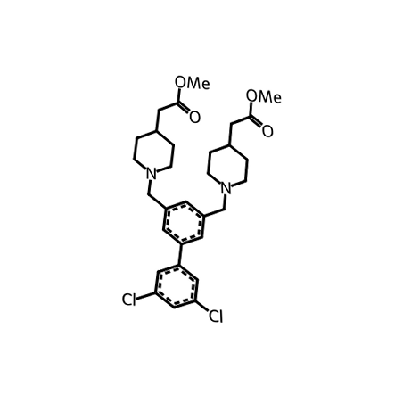 COC(=O)CC1CCN(Cc2cc(CN3CCC(CC(=O)OC)CC3)cc(-c3cc(Cl)cc(Cl)c3)c2)CC1